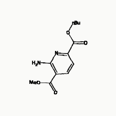 CCCCOC(=O)c1ccc(C(=O)OC)c(N)n1